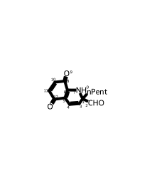 CCCCCC1(C=O)C=CC2=C(N1)C(=O)C=CC2=O